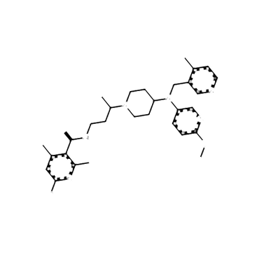 COc1ccc(N(Cc2cnccc2C)C2CCN(C(C)CCNC(=O)c3c(C)cc(Cl)nc3C)CC2)cn1